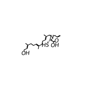 C=CCN(CC(C)=CCCC(C)=CCCC(C)=CCO)[C@@H](CS)C(=O)O